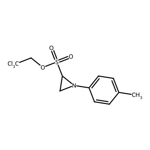 Cc1ccc(N2CC2S(=O)(=O)OCC(Cl)(Cl)Cl)cc1